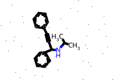 CC(C)NC(C#Cc1ccccc1)c1ccccc1